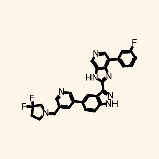 Fc1cccc(-c2cncc3[nH]c(-c4n[nH]c5ccc(-c6cncc(CN7CCC(F)(F)C7)c6)cc45)nc23)c1